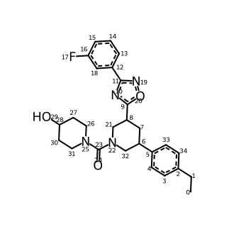 CCc1ccc(C2CC(c3nc(-c4cccc(F)c4)no3)CN(C(=O)N3CCC(O)CC3)C2)cc1